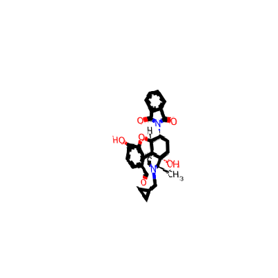 C[C@H]1N(CC2CC2)CC[C@]23c4c(C=O)ccc(O)c4O[C@H]2[C@H](N2C(=O)c4ccccc4C2=O)CC[C@@]13O